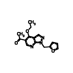 CCOc1c(C(C)=O)cnc2c1cnn2Cc1ccco1